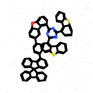 c1ccc2c(c1)-c1ccccc1C21c2ccccc2-c2c(-c3ccc(-c4ccc5oc6cccc(-c7nc(-c8cccc9sc%10ccccc%10c89)nc(-c8cccc9sc%10ccccc%10c89)n7)c6c5c4)cc3)cccc21